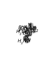 Cc1c(-c2ccc(F)c(F)c2)ncc(N2CCCC(N)(c3cccnc3)C2)c1C(=O)OCc1cc(-c2ccc(F)c(F)c2)ncc1N1CCCC(N)(c2cccnc2)C1